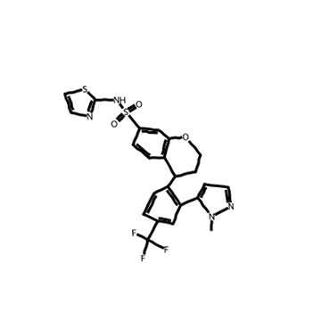 Cn1nccc1-c1cc(C(F)(F)F)ccc1C1CCOc2cc(S(=O)(=O)Nc3nccs3)ccc21